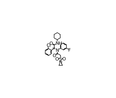 O=C(NC1CCCCC1)[C@@H](c1ccccc1Cl)N(C(=O)CS(=O)(=O)N1CC1)c1cccc(F)c1